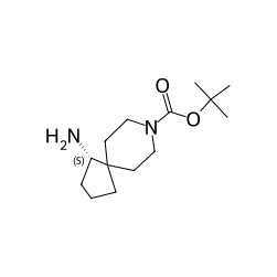 CC(C)(C)OC(=O)N1CCC2(CCC[C@@H]2N)CC1